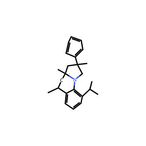 CC(C)c1cccc2c1N1CC(C)(c3ccccc3)CC1(C)CC2C